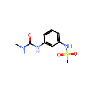 CNC(=O)Nc1cccc(NS(C)(=O)=O)c1